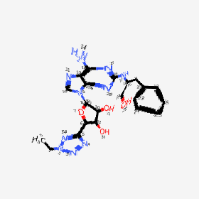 CCn1nnc(C2O[C@@H](n3cnc4c(N)nc(N[C@H](CO)Cc5ccccc5)nc43)C(O)C2O)n1